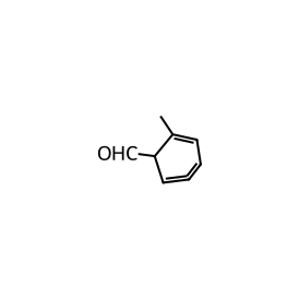 CC1=CC=C=CC1C=O